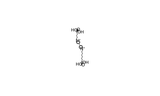 O=P(O)(O)CCCCCCCC[n+]1ccc(-c2cc[n+](CCCCCP(=O)(O)O)cc2)cc1